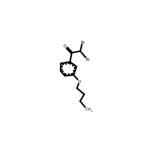 CCCCOc1cccc(C(=O)C(Br)Br)c1